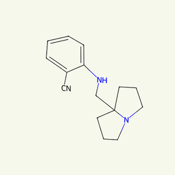 N#Cc1ccccc1NCC12CCCN1CCC2